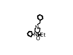 CCC(=O)C1(Nc2ccccc2)CCN(CCc2ccccc2)CC1